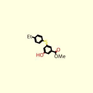 CCc1ccc(Sc2cc(O)cc(C(=O)OC)c2)cc1